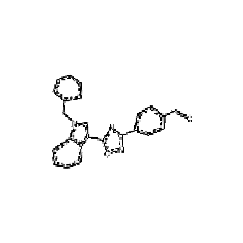 O=Cc1ccc(-c2noc(-c3cn(Cc4ccccc4)c4ccccc34)n2)cc1